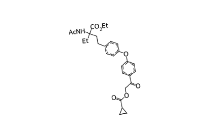 CCOC(=O)C(CC)(CCc1ccc(Oc2ccc(C(=O)COC(=O)C3CC3)cc2)cc1)NC(C)=O